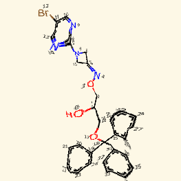 OC(CON=C1CN(c2ncc(Br)cn2)C1)COC(c1ccccc1)(c1ccccc1)c1ccccc1